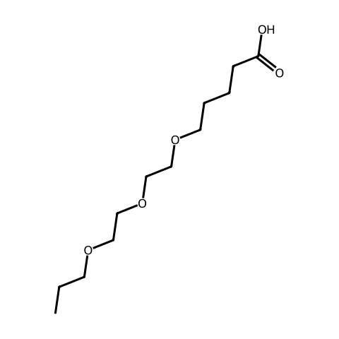 CCCOCCOCCOCCCCC(=O)O